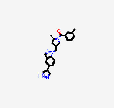 Cc1cccc(C(=O)N2CC(Cn3ncc4cc(-c5cn[nH]c5)ccc43)C[C@H]2C)c1